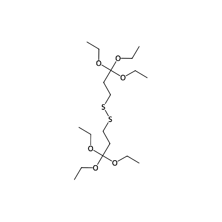 CCOC(CCSSCCC(OCC)(OCC)OCC)(OCC)OCC